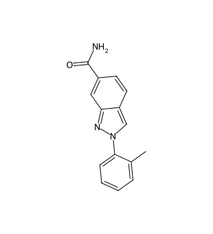 Cc1ccccc1-n1cc2ccc(C(N)=O)cc2n1